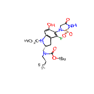 CC(C)(C)OC(=O)N(CCC(F)(F)F)C[C@H]1Cc2c(cc(O)c(N3CC(=O)NS3(=O)=O)c2F)N1C(=O)O